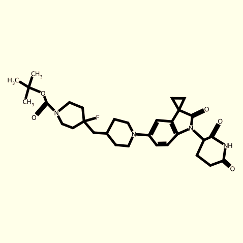 CC(C)(C)OC(=O)N1CCC(F)(CC2CCN(c3ccc4c(c3)C3(CC3)C(=O)N4C3CCC(=O)NC3=O)CC2)CC1